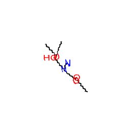 CCCCCCCCCOC(=O)CCCCCCCN(CCC#N)CCCCCCCC(O)OC(CCCCCCCC)CCCCCCCC